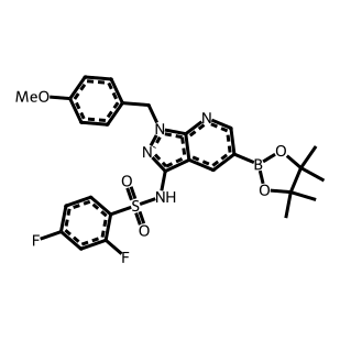 COc1ccc(Cn2nc(NS(=O)(=O)c3ccc(F)cc3F)c3cc(B4OC(C)(C)C(C)(C)O4)cnc32)cc1